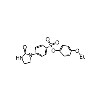 CCOc1ccc(OS(=O)(=O)c2ccc(N3CCNC3=O)cc2)cc1